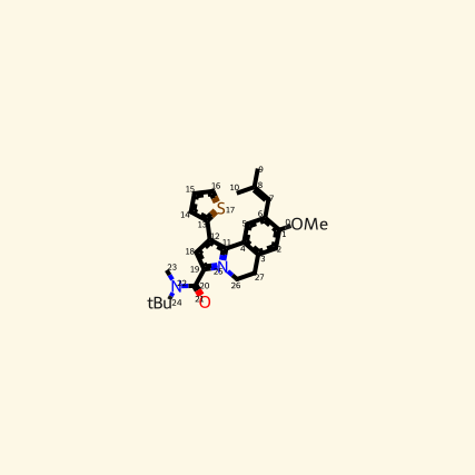 COc1cc2c(cc1C=C(C)C)-c1c(-c3cccs3)cc(C(=O)N(C)C(C)(C)C)n1CC2